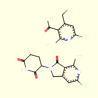 COC(=O)c1c(CBr)cc(Cl)nc1OC.COc1nc(Cl)cc2c1C(=O)N(C1CCC(=O)NC1=O)C2